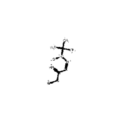 CC(C)(C)[S@+]([O-])/N=C\C(=N)CBr